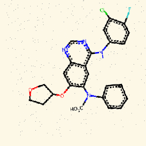 O=C(O)N(c1ccccc1)c1cc2c(Nc3ccc(F)c(Cl)c3)ncnc2cc1OC1CCOC1